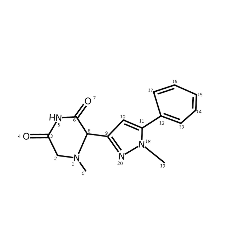 CN1CC(=O)NC(=O)C1c1cc(-c2ccccc2)n(C)n1